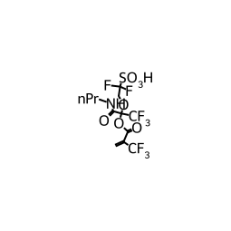 C=C(C(=O)OC(OCC(F)(F)S(=O)(=O)O)(C(=O)NCCC)C(F)(F)F)C(F)(F)F